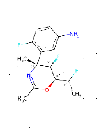 CC1=N[C@](C)(c2cc(N)ccc2F)[C@@H](F)[C@@H]([C@@H](C)F)O1